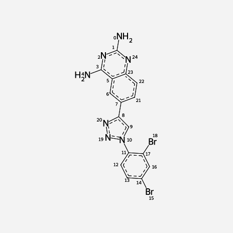 Nc1nc(N)c2cc(-c3cn(-c4ccc(Br)cc4Br)nn3)ccc2n1